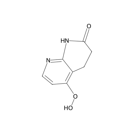 O=C1CCc2c(OO)ccnc2N1